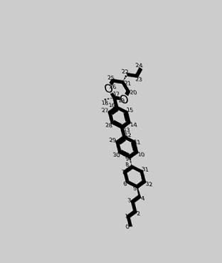 CCCCC[C@H]1CC[C@H](c2ccc(-c3ccc([C@]4(C)OC[C@@H](CCC)CO4)cc3)cc2)CC1